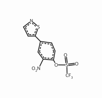 O=[N+]([O-])c1cc(-c2ccns2)ccc1OS(=O)(=O)C(F)(F)F